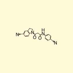 N#Cc1ccc(NC(=O)CC(=O)N2CCc3cc(C#N)ccc32)cc1